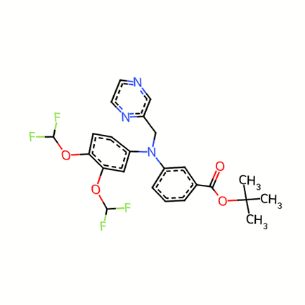 CC(C)(C)OC(=O)c1cccc(N(Cc2cnccn2)c2ccc(OC(F)F)c(OC(F)F)c2)c1